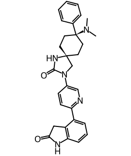 CN(C)[C@]1(c2ccccc2)CC[C@@]2(CC1)CN(c1ccc(-c3cccc4c3CC(=O)N4)nc1)C(=O)N2